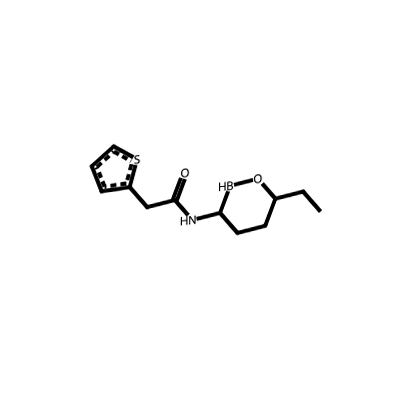 CCC1CCC(NC(=O)Cc2cccs2)BO1